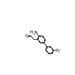 Nc1ccc(-c2cccc(Cl)c2)cc1CC=O